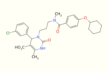 CC1=C(C(=O)O)C(c2cccc(Cl)c2)N(CCCN(C)C(=O)c2ccc(OC3CCCCC3)cc2)C(=O)N1